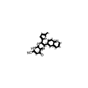 Cc1ccc(-c2nc3[nH]c(C#N)cc(=O)c3nc2-c2ccc3ncccc3c2)s1